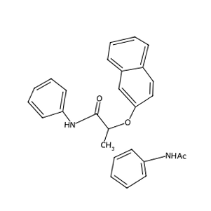 CC(=O)Nc1ccccc1.CC(Oc1ccc2ccccc2c1)C(=O)Nc1ccccc1